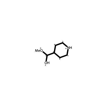 COC(O)C1CCNCC1